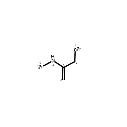 C=C(CCCC)NC(C)C